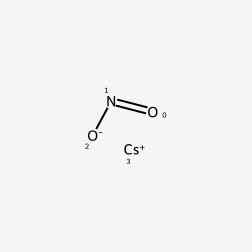 O=N[O-].[Cs+]